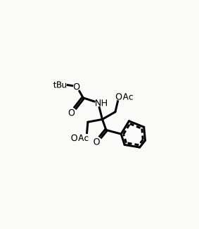 CC(=O)OCC(COC(C)=O)(NC(=O)OC(C)(C)C)C(=O)c1ccccc1